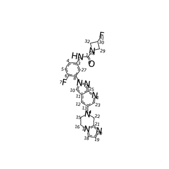 O=C(Nc1ccc(F)c(-n2cc3cc(N4CCn5ccnc5C4)cnc3n2)c1)N1CC(F)C1